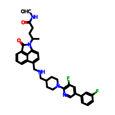 CC(CCC(=O)NC=O)N1C(=O)c2cccc3c(CNCC4CCN(c5ncc(-c6cccc(F)c6)cc5F)CC4)ccc1c23